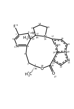 C[C@@H]1CCC2=NC=C(F)CC2(C)[C@H]2CCCN2c2ccn3ncc(c3n2)C(=O)O1